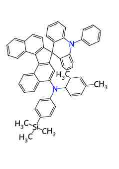 CC1=CC(C)C(N(c2ccc([Si](C)(C)C)cc2)c2cc3c(c4ccccc24)-c2c(ccc4ccccc24)C32c3ccccc3N(c3ccccc3)c3ccccc32)C=C1